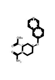 CC(C)COC(=O)[C@@H]1C[C@@H](Oc2ccc3cnccc3c2)CCN1C(N)=O